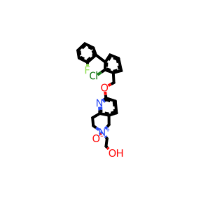 [O-][N+]1(CCO)CCc2nc(OCc3cccc(-c4ccccc4F)c3Cl)ccc2C1